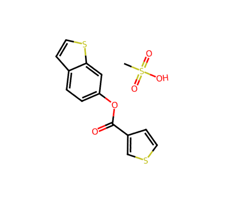 CS(=O)(=O)O.O=C(Oc1ccc2ccsc2c1)c1ccsc1